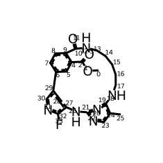 COC(=O)c1cc2ccc1C(=O)NCCCCCNc1nc(ncc1C)Nc1cc-2cnc1F